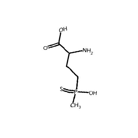 CP(O)(=S)CCC(N)C(=O)O